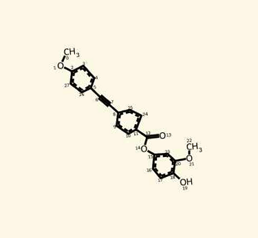 COc1ccc(C#Cc2ccc(C(=O)Oc3ccc(O)c(OC)c3)cc2)cc1